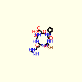 CC(=N)NCCC[C@@H]1NC(=O)[C@H](CS)NC(=O)[C@@H](Cc2ccccc2)NC(=O)[C@H](CC(=O)O)NC(=O)CNC1=O